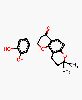 CC1(C)CCc2c(ccc3c2O[C@H](c2ccc(O)c(O)c2)CC3=O)O1